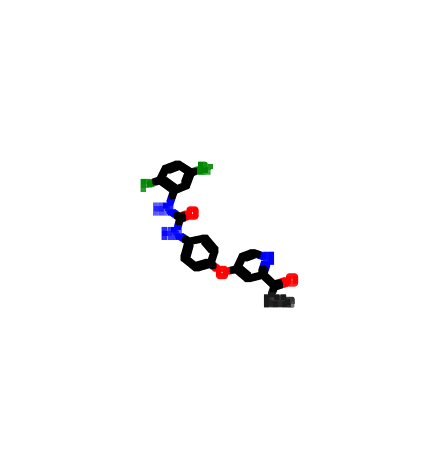 CNC(=O)c1cc(Oc2ccc(NC(=O)Nc3cc(Br)ccc3F)cc2)ccn1